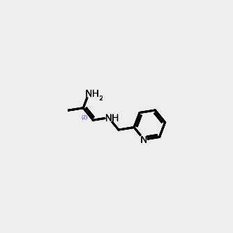 C/C(N)=C/NCc1ccccn1